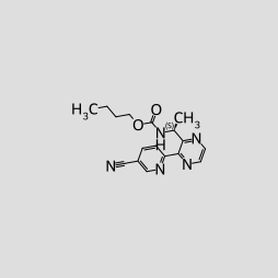 CCCCOC(=O)N[C@@H](C)c1nccnc1-c1ccc(C#N)cn1